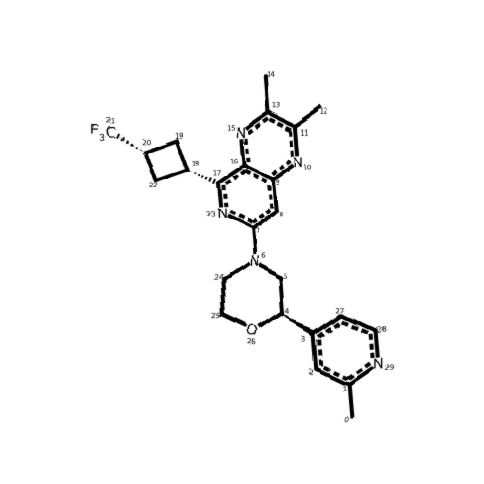 Cc1cc([C@@H]2CN(c3cc4nc(C)c(C)nc4c([C@H]4C[C@@H](C(F)(F)F)C4)n3)CCO2)ccn1